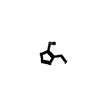 O=Cc1ocnc1CF